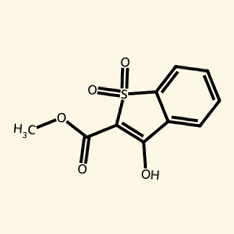 COC(=O)C1=C(O)c2ccccc2S1(=O)=O